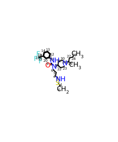 C=CSNCCCN(C(=O)Nc1cccc(C(F)(F)F)c1)C1CCN(C(C)CCC)CC1